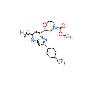 Cc1cc(C2CN(C(=O)OC(C)(C)C)CCO2)n2nc([C@H]3CC[C@H](C(F)(F)F)CC3)cc2n1